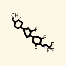 C=CC1CCC(c2ccc(-c3cc(F)c(/C=C/C(F)(F)F)c(F)c3)c(F)c2)CC1